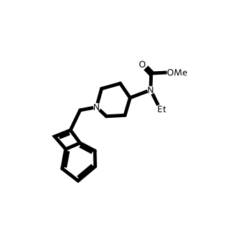 CCN(C(=O)OC)C1CCN(CC2=Cc3ccccc32)CC1